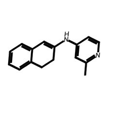 Cc1cc(NC2=Cc3ccccc3CC2)ccn1